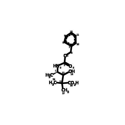 C[C@H](NC(=O)OCc1ccccc1)C(O)C(C)(C)C(=O)O